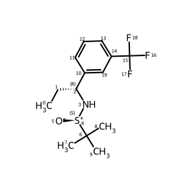 CC[C@@H](N[S@+]([O-])C(C)(C)C)c1cccc(C(F)(F)F)c1